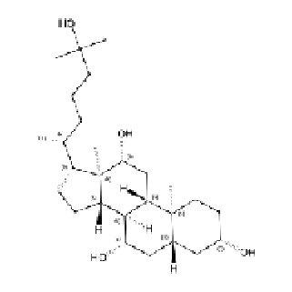 C[C@H](CCCC(C)(C)O)[C@H]1CC[C@H]2[C@@H]3[C@@H](O)C[C@H]4C[C@@H](O)CC[C@]4(C)[C@H]3C[C@@H](O)[C@]12C